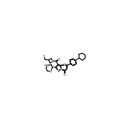 O=C(c1c([C@@H]2CNCCO2)nn2c(=O)cc(-c3ccc(C4CCCCC4)cc3)[nH]c12)N1CC(CF)C1